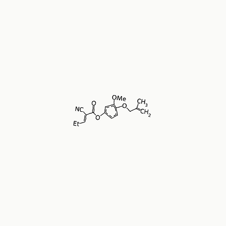 C=C(C)COc1ccc(OC(=O)C(C#N)=CCC)cc1OC